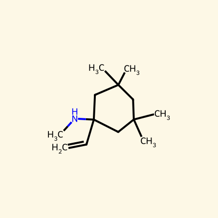 C=CC1(NC)CC(C)(C)CC(C)(C)C1